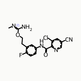 C/N=C(/N)OCCc1cc(NC(=O)c2ncc(C#N)cc2Cl)ccc1F